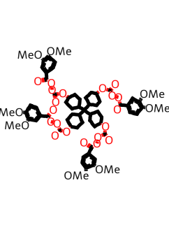 COc1ccc(C(=O)OOC(=O)OC2CCC(C(C3CCC(OC(=O)OOC(=O)c4ccc(OC)c(OC)c4)CC3)(C3CCC(OC(=O)OOC(=O)c4ccc(OC)c(OC)c4)CC3)C3CCC(OC(=O)OOC(=O)c4ccc(OC)c(OC)c4)CC3)CC2)cc1OC